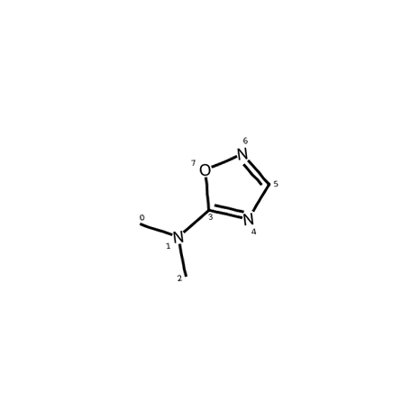 CN(C)c1ncno1